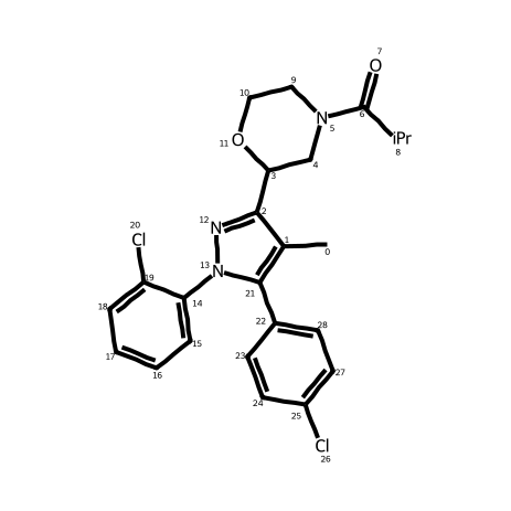 Cc1c(C2CN(C(=O)C(C)C)CCO2)nn(-c2ccccc2Cl)c1-c1ccc(Cl)cc1